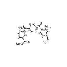 COC(=O)c1cnc2[nH]cc(C3CCN(C(=O)c4ccc(OC(F)(F)F)cc4N)CC3)c2c1